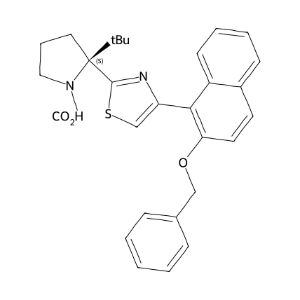 CC(C)(C)[C@]1(c2nc(-c3c(OCc4ccccc4)ccc4ccccc34)cs2)CCCN1C(=O)O